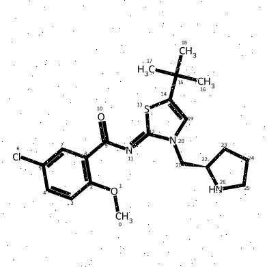 COc1ccc(Cl)cc1C(=O)/N=c1\sc(C(C)(C)C)cn1C[C@H]1CCCN1